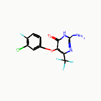 Nc1nc(C(F)(F)F)c(Oc2ccc(F)c(Cl)c2)c(=O)[nH]1